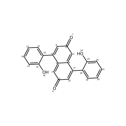 O=C1C=C2C(=CC(=O)C=C2c2ccccc2O)C(c2ccccc2O)=C1